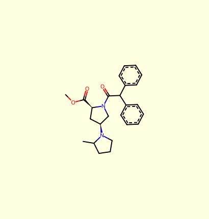 COC(=O)[C@@H]1C[C@H](N2CCCC2C)CN1C(=O)C(c1ccccc1)c1ccccc1